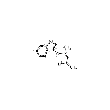 C=C(Br)/C=C(/C)On1nnc2ccccc21